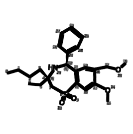 CCCC[C@]1(CC)CS(=O)(=O)c2cc(OC)c(COC)cc2[C@H](c2ccccc2)N1